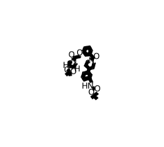 CC(C)(C)OC(=O)NCc1cccc(C2CCN(C(=O)c3cccc(OCC(=O)N4C[C@H]5OC(C)(C)O[C@@H]5C4)c3)CC2)c1